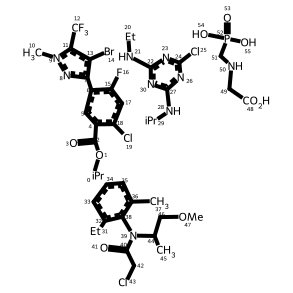 CC(C)OC(=O)c1cc(-c2nn(C)c(C(F)(F)F)c2Br)c(F)cc1Cl.CCNc1nc(Cl)nc(NC(C)C)n1.CCc1cccc(C)c1N(C(=O)CCl)C(C)COC.O=C(O)CNCP(=O)(O)O